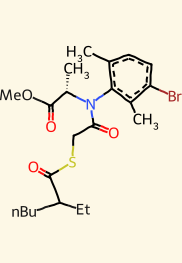 CCCCC(CC)C(=O)SCC(=O)N(c1c(C)ccc(Br)c1C)[C@@H](C)C(=O)OC